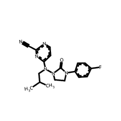 CC(C)CN(c1ccnc(C#N)n1)N1CCN(c2ccc(F)cc2)C1=O